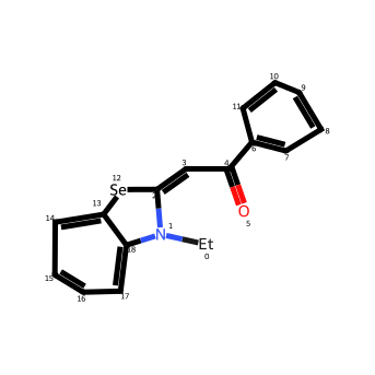 CCN1C(=CC(=O)c2ccccc2)[Se]c2ccccc21